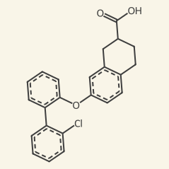 O=C(O)C1CCc2ccc(Oc3ccccc3-c3ccccc3Cl)cc2C1